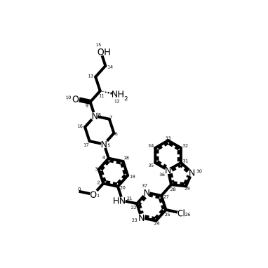 COc1cc(N2CCN(C(=O)[C@@H](N)CCO)CC2)ccc1Nc1ncc(Cl)c(-c2cnc3ccccn23)n1